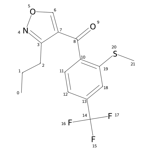 CCCc1nocc1C(=O)c1ccc(C(F)(F)F)cc1SC